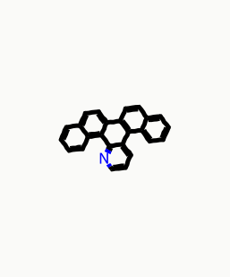 c1ccc2c(c1)ccc1c3ccc4ccccc4c3c3ncccc3c21